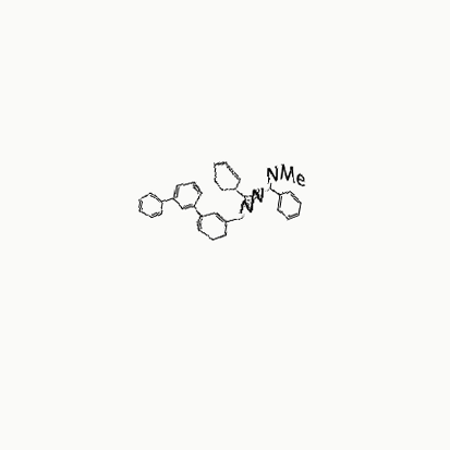 CNC(c1ccccc1)[N@@]1C(C2C=CCCC2)[N@@]1CC1=CC(c2cccc(-c3ccccc3)c2)=CCC1